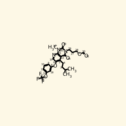 CC(C)CCc1c(Oc2cccc(OC(F)(F)F)c2)cnc2c1c(=O)n(CCCOC=O)c(=O)n2C